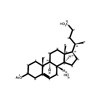 CC(=O)OC1CC[C@@]2(C)C(=CC[C@H]3[C@@H]4CC[C@H]([C@H](C)CCC(=O)O)[C@@]4(C)CC[C@@H]32)C1.Cl